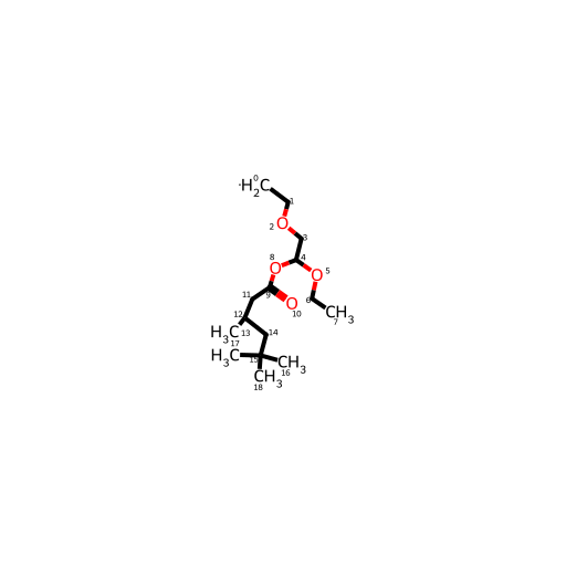 [CH2]COCC(OCC)OC(=O)CC(C)CC(C)(C)C